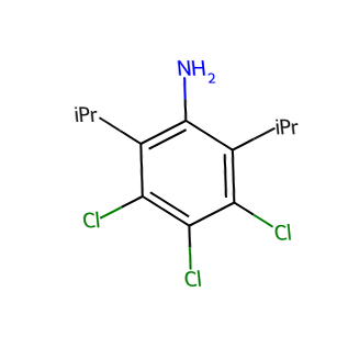 CC(C)c1c(N)c(C(C)C)c(Cl)c(Cl)c1Cl